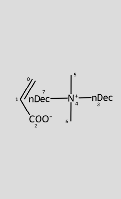 C=CC(=O)[O-].CCCCCCCCCC[N+](C)(C)CCCCCCCCCC